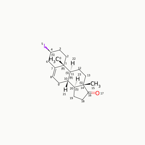 C[C@]12CC[C@H](I)CC1=CC[C@@H]1[C@@H]2CC[C@]2(C)C(=O)CC[C@@H]12